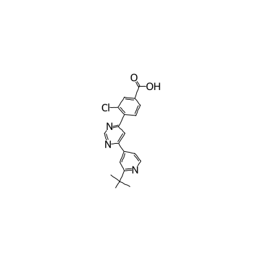 CC(C)(C)c1cc(-c2cc(-c3ccc(C(=O)O)cc3Cl)ncn2)ccn1